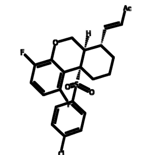 CC(=O)/C=C/[C@@H]1CCC[C@@]2(S(=O)(=O)c3ccc(Cl)cc3)c3c(F)ccc(F)c3OC[C@@H]12